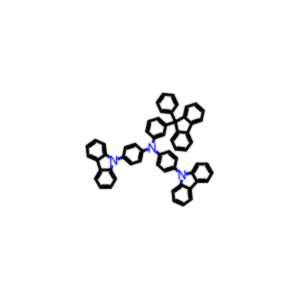 c1ccc(C2(c3cccc(N(c4ccc(-n5c6ccccc6c6ccccc65)cc4)c4ccc(-n5c6ccccc6c6ccccc65)cc4)c3)c3ccccc3-c3ccccc32)cc1